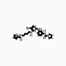 O=C(NCCCCNc1nc(Nc2cccc(NC(=O)N3CCCC3)c2)ncc1Br)c1cccs1